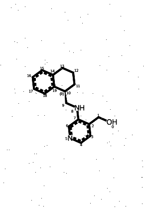 OCc1ccncc1NC[C@@H]1CCCc2ccccc21